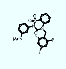 CSc1cccc(N2C(=O)N(Cc3c(F)cc(F)cc3F)c3ccccc3S2(=O)=O)c1